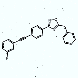 Fc1cccc(C#Cc2ccc(-c3noc(Cc4ccccc4)n3)cc2)c1